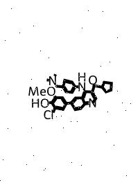 COc1cc(-c2ccc3ncc(C(=O)C4CCCC4)c(Nc4ccc(CN(C)C)cc4)c3c2)cc(Cl)c1O